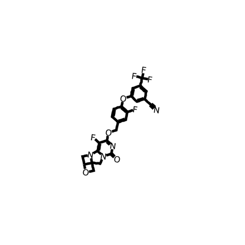 N#Cc1cc(Oc2ccc(COc3nc(=O)n4c(c3F)N3CC5OCC53C4)cc2F)cc(C(F)(F)F)c1